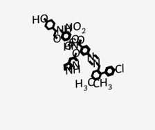 CC1(C)CCC(CN2CCN(c3ccc(C(=O)NS(=O)(=O)c4cc5c(c([N+](=O)[O-])c4)NC(C4CCC(O)CC4)CO5)c(Oc4cnc5[nH]ccc5c4)c3)CC2)=C(c2ccc(Cl)cc2)C1